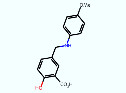 COc1ccc(NCc2ccc(O)c(C(=O)O)c2)cc1